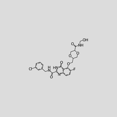 O=C(NCc1cccc(Cl)c1)c1nc2ccc(F)c(OCC3COC(C(=O)NCO)CO3)c2c(=O)[nH]1